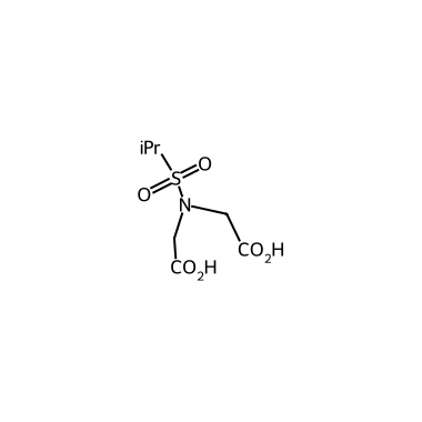 CC(C)S(=O)(=O)N(CC(=O)O)CC(=O)O